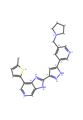 Cc1ccc(-c2cncc3[nH]c(-c4cc(-c5cncc(CN6CCCC6)c5)[nH]n4)nc23)s1